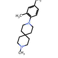 Cc1ccc(N2CCC3(CCN(C)CC3)CC2)c(C)c1